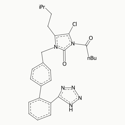 CCCCC(=O)n1c(Cl)c(CCC(C)C)n(Cc2ccc(-c3ccccc3-c3nnn[nH]3)cc2)c1=O